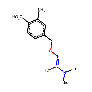 Cc1cc(CO/N=[N+](\O)N(C)C(C)(C)C)ccc1C(=O)O